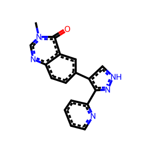 Cn1cnc2ccc(-c3c[nH]nc3-c3ccccn3)cc2c1=O